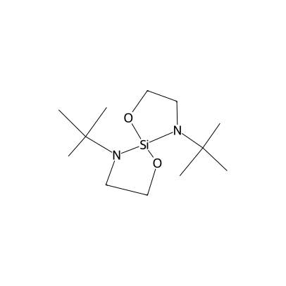 CC(C)(C)N1CCO[Si]12OCCN2C(C)(C)C